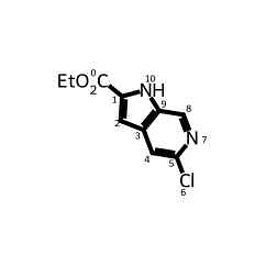 CCOC(=O)c1cc2cc(Cl)ncc2[nH]1